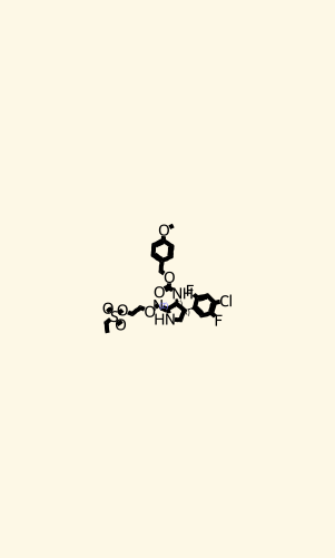 CCS(=O)(=O)OCCO/N=C1\NC[C@@H](c2cc(F)c(Cl)cc2F)[C@@H]1NC(=O)OCc1ccc(OC)cc1